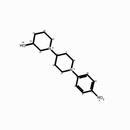 O=[N+]([O-])c1ccc(N2CCC(N3CCCC(O)C3)CC2)cc1